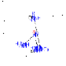 CCNC(=N)NCCCCCCCCCN(CCCCCCCCCNC(=N)N)C(=O)N(CCCCCCCCCNC(=N)N)CCCCCCCCCNC(=N)NCC